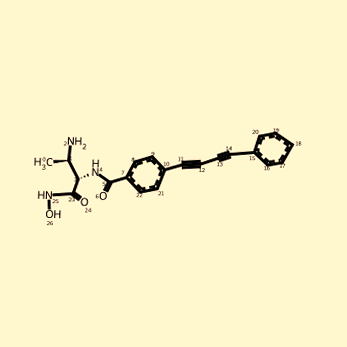 C[C@@H](N)[C@H](NC(=O)c1ccc(C#CC#Cc2ccccc2)cc1)C(=O)NO